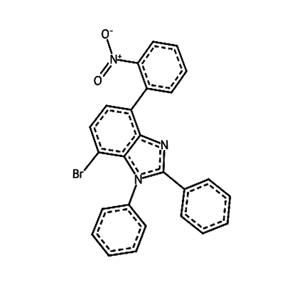 O=[N+]([O-])c1ccccc1-c1ccc(Br)c2c1nc(-c1ccccc1)n2-c1ccccc1